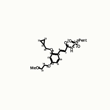 CCCCCS(=O)(=O)NC(=O)C=Cc1ccc(OCCOC)cc1OCC1CC1